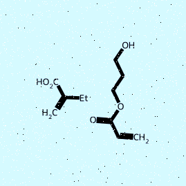 C=C(CC)C(=O)O.C=CC(=O)OCCCO